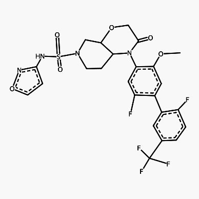 COc1cc(-c2cc(C(F)(F)F)ccc2F)c(F)cc1N1C(=O)COC2CN(S(=O)(=O)Nc3ccon3)CCC21